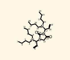 C=CC(N(CCCC)CCCC)N1CC(=O)N(C(C=C)N(CCCC)CCCC)C1=O